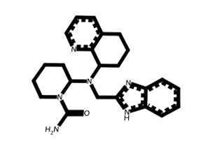 NC(=O)N1CCCCC1N(Cc1nc2ccccc2[nH]1)C1CCCc2cccnc21